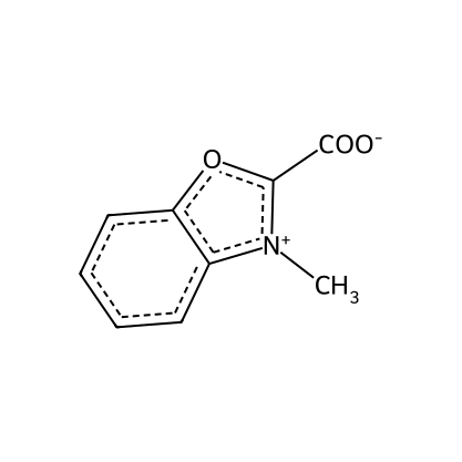 C[n+]1c(C(=O)[O-])oc2ccccc21